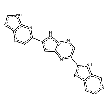 c1cc2nc(-c3cnc4[nH]c(-c5cnc6nc[nH]c6n5)cc4n3)[nH]c2cn1